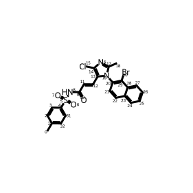 Cc1ccc(S(=O)(=O)NC(=O)C=Cc2c(Cl)nc(C)n2-c2ccc3ccccc3c2Br)cc1